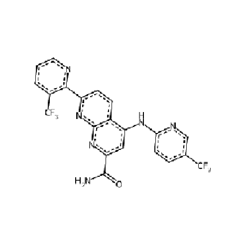 NC(=O)c1cc(Nc2ccc(C(F)(F)F)cn2)c2ccc(-c3ncccc3C(F)(F)F)nc2n1